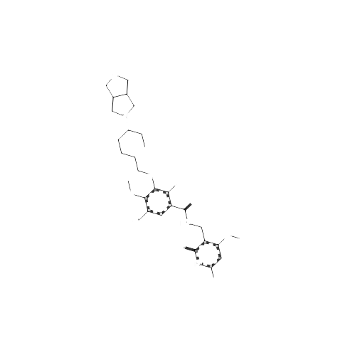 COc1cc(C)[nH]c(=O)c1CNC(=O)c1cc(Cl)c2c(c1C)O[C@@H]([C@H]1CC[C@@H](N3CC4COCC4C3)CC1)CO2